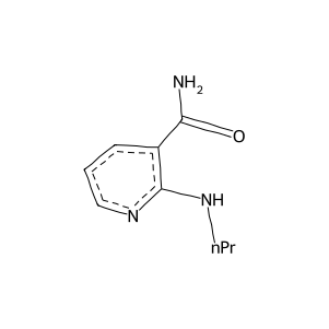 CCCNc1ncccc1C(N)=O